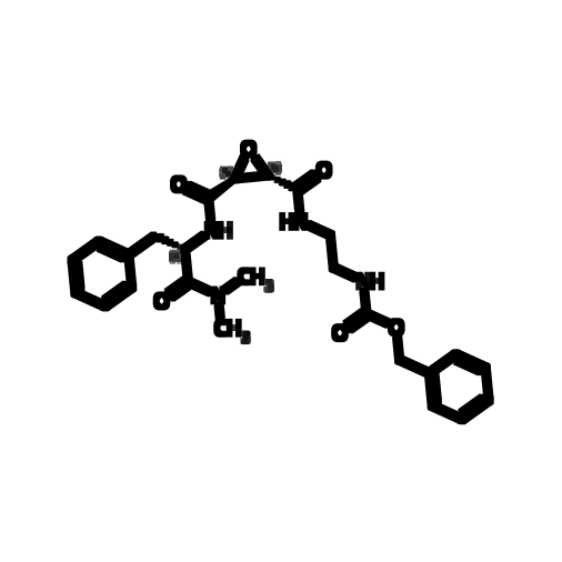 CN(C)C(=O)[C@H](Cc1ccccc1)NC(=O)[C@H]1O[C@@H]1C(=O)NCCNC(=O)OCc1ccccc1